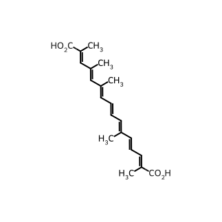 CC(/C=C/C=C(\C)C(=O)O)=C\C=C\C=C(C)\C=C(C)\C=C(/C)C(=O)O